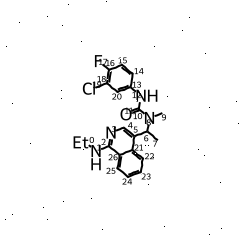 CCNc1ncc(C(C)N(C)C(=O)Nc2ccc(F)c(Cl)c2)c2ccccc12